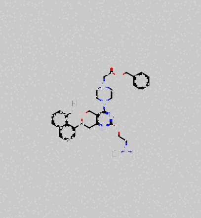 CCN(CC)CCOc1nc2c(c(N3CCN(CC(=O)OCc4ccccc4)CC3)n1)COC(c1cccc3cccc(C)c13)C2